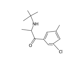 Cc1cc(Cl)cc(C(=O)C(C)NC(C)(C)C)c1